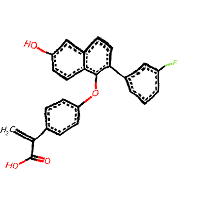 C=C(C(=O)O)c1ccc(Oc2c(-c3cccc(F)c3)ccc3cc(O)ccc23)cc1